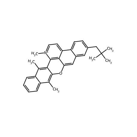 Cc1c2c(c(C)c3ccccc13)-c1c3c(cc4cc(CC(C)(C)C)ccc4c3cc[n+]1C)O2